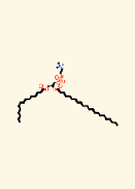 CCCCC/C=C\CCCCCCCC(=O)OC[C@H](COP(=O)([O-])OCC[N+](C)(C)C)OC(=O)CCCCCCCCCCCCCCCCCCCCC